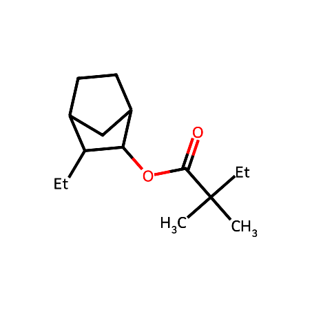 CCC1C2CCC(C2)C1OC(=O)C(C)(C)CC